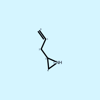 C=C[CH]C1CN1